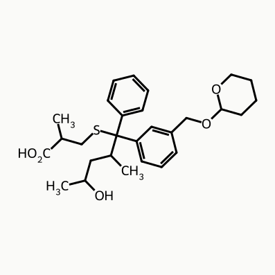 CC(O)CC(C)C(SCC(C)C(=O)O)(c1ccccc1)c1cccc(COC2CCCCO2)c1